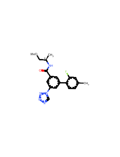 COC[C@@H](C)NC(=O)c1cc(-c2ccc(C)cc2F)cc(-n2cnnn2)c1